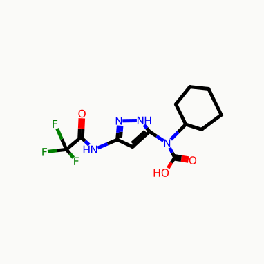 O=C(O)N(c1cc(NC(=O)C(F)(F)F)n[nH]1)C1CCCCC1